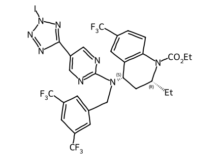 CCOC(=O)N1c2ccc(C(F)(F)F)cc2[C@@H](N(Cc2cc(C(F)(F)F)cc(C(F)(F)F)c2)c2ncc(-c3nnn(I)n3)cn2)C[C@H]1CC